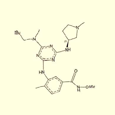 CONC(=O)c1ccc(C)c(Nc2nc(N[C@H]3CCN(C)C3)nc(N(C)CC(C)(C)C)n2)c1